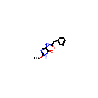 COc1ncc(NC(=O)Cc2ccccc2)c(=O)[nH]1